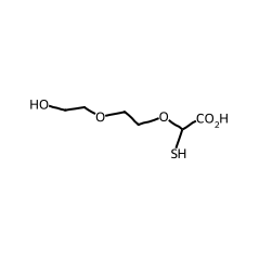 O=C(O)C(S)OCCOCCO